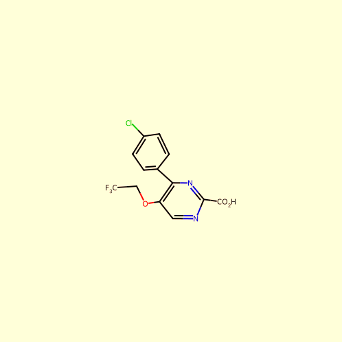 O=C(O)c1ncc(OCC(F)(F)F)c(-c2ccc(Cl)cc2)n1